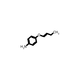 CCC=COc1ccc(N)cc1